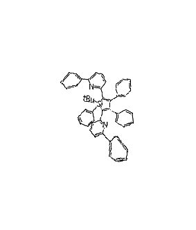 CC(C)(C)[Si]1(c2ccccc2)C(c2cccc(-c3ccccc3)n2)=C(c2ccccc2)C(c2ccccc2)=C1c1cccc(-c2ccccc2)n1